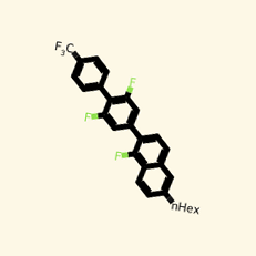 CCCCCCc1ccc2c(F)c(-c3cc(F)c(-c4ccc(C(F)(F)F)cc4)c(F)c3)ccc2c1